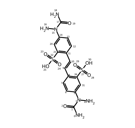 NC(=O)N(N)c1ccc(C=Cc2ccc(N(N)C(N)=O)cc2S(=O)(=O)O)c(S(=O)(=O)O)c1